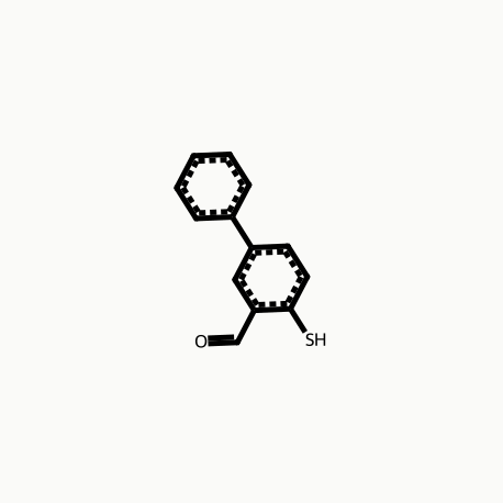 O=Cc1cc(-c2ccccc2)ccc1S